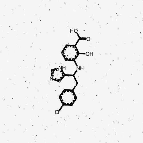 O=C(O)c1cccc(NC(Cc2ccc(Cl)cc2)c2cnc[nH]2)c1O